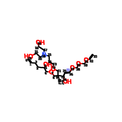 C=CCCC(O)COCC(CC)(COCCCN(CCO)CCO)C(O)/C=C/OCOCOC=C